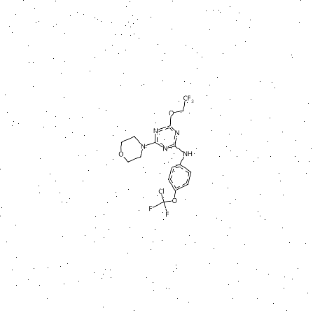 FC(F)(F)COc1nc(Nc2ccc(OC(F)(F)Cl)cc2)nc(N2CCOCC2)n1